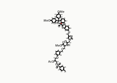 COC(=O)[C@H](COCc1cccc(OCC(COS(=O)(=O)c2ccc(C)cc2)OC(C)=O)c1)NC(=O)Cn1cc(COc2ccc3nc(S(=O)(=O)NC(c4ccccc4)(c4ccc(OC)cc4)c4ccc(OC)cc4)sc3c2)nn1